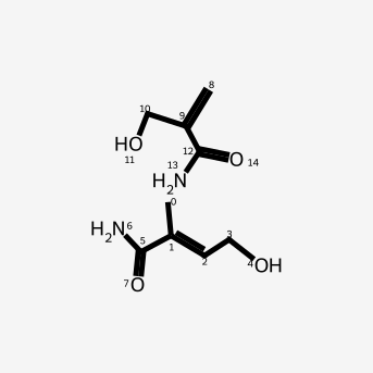 C/C(=C\CO)C(N)=O.C=C(CO)C(N)=O